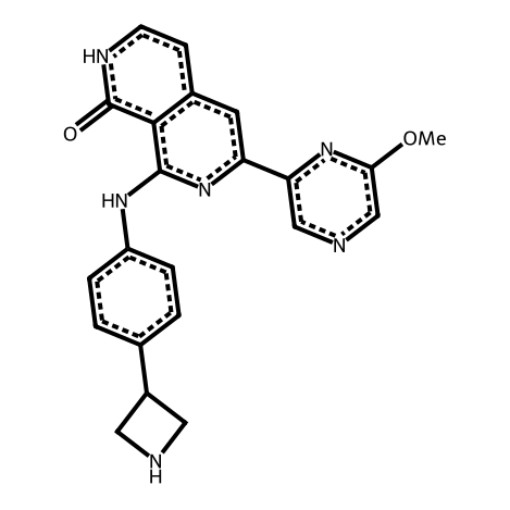 COc1cncc(-c2cc3cc[nH]c(=O)c3c(Nc3ccc(C4CNC4)cc3)n2)n1